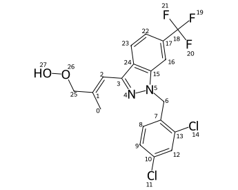 C/C(=C\c1nn(Cc2ccc(Cl)cc2Cl)c2cc(C(F)(F)F)ccc12)COO